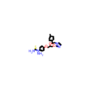 Cc1ccc(C2(Cn3ccnc3)OCC(COc3ccc(N(N)C(N)=S)cc3)O2)cc1